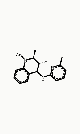 CC(=O)N1c2ccccc2C(Nc2cccc(C)n2)[C@@H](C)[C@@H]1C